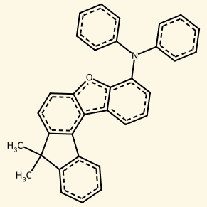 CC1(C)c2ccccc2-c2c1ccc1oc3c(N(c4ccccc4)c4ccccc4)cccc3c21